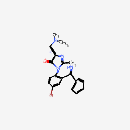 CC1=N/C(=C\N(C)C)C(=O)N1c1ccc(Br)cc1C(=N)c1ccccc1